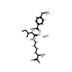 CCC(C)[C@H](NC(=O)c1ccc(CN)cc1)C(=O)NCCCCC(O)C(C)=O.Cl